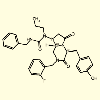 CCCN(C(=O)NCc1ccccc1)N1CC(=O)N2[C@@H](Cc3ccc(O)cc3)C(=O)N(Cc3ccccc3F)C[C@@H]21